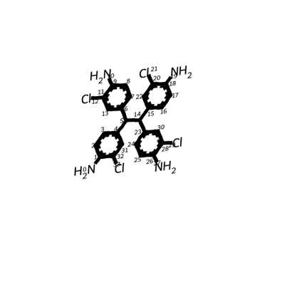 Nc1ccc(C(c2ccc(N)c(Cl)c2)C(c2ccc(N)c(Cl)c2)c2ccc(N)c(Cl)c2)cc1Cl